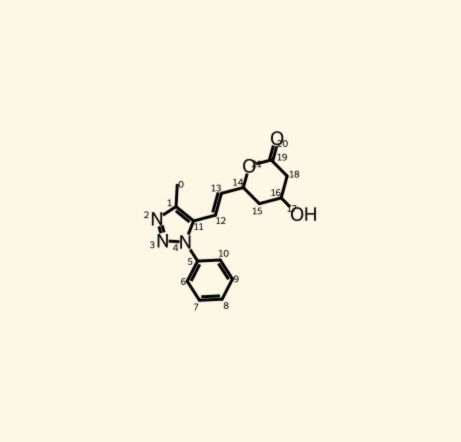 Cc1nnn(-c2ccccc2)c1/C=C/C1CC(O)CC(=O)O1